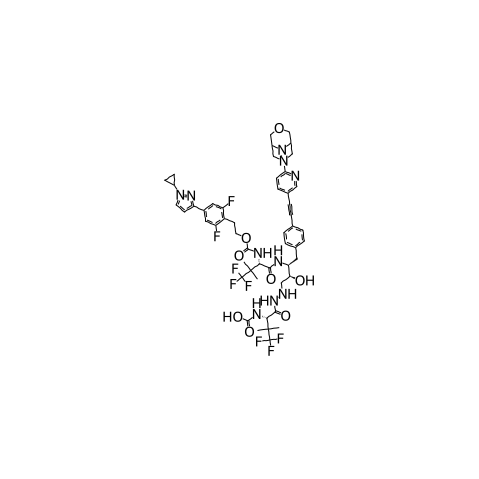 CN1C2COCC1CN(c1ccc(C#Cc3ccc(C[C@H](NC(=O)[C@@H](NC(=O)OCCc4c(F)cc(-c5ccn(C6CC6)n5)cc4F)C(C)(C)C(F)(F)F)[C@@H](O)CNNC(=O)[C@@H](NC(=O)O)C(C)(C)C(F)(F)F)cc3)cn1)C2